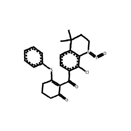 CC1(C)CCS(=S=O)c2c1ccc(C(=O)C1=C(Sc3ccccc3)CCCC1=O)c2Cl